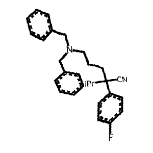 CC(C)C(C#N)(CCCN(Cc1ccccc1)Cc1ccccc1)c1ccc(F)cc1